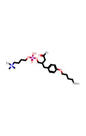 CCCCCCCCCCCCCCOc1ccc(CC(COP(=O)(O)OCCCC[N+](C)(C)CC)CC(=O)CC)cc1